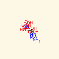 NOC(OP(=O)(O)OP(=O)(O)OP(=O)(O)O)[C@H]1O[C@@H](n2cnc3c(N)ncnc32)[C@H](O)[C@@H]1O